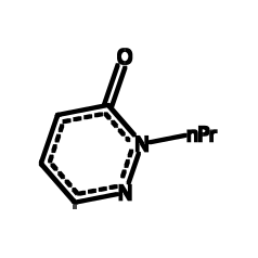 CCCn1n[c]ccc1=O